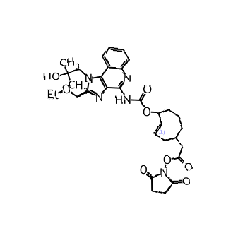 CCOCc1nc2c(NC(=O)OC3/C=C/CC(CC(=O)ON4C(=O)CCC4=O)CCC3)nc3ccccc3c2n1CC(C)(C)O